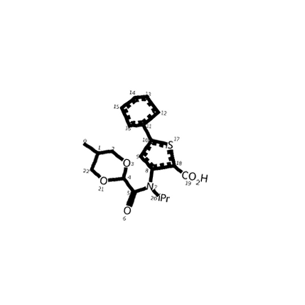 CC1COC(C(=O)N(c2cc(-c3ccccc3)sc2C(=O)O)C(C)C)OC1